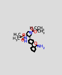 CC(C)S(=O)(=O)N[C@H]1CCN(C(=O)OC(C)(C)C)C[C@@H]1c1ccc(-c2ccccc2C(N)=O)cc1